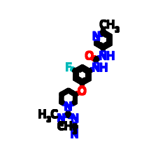 Cc1ccc(NC(=O)Nc2cc(F)cc(OC3CCCN(C(=NC#N)N(C)C)C3)c2)cn1